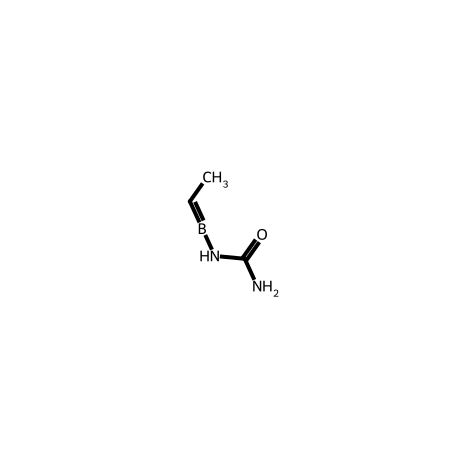 CC=BNC(N)=O